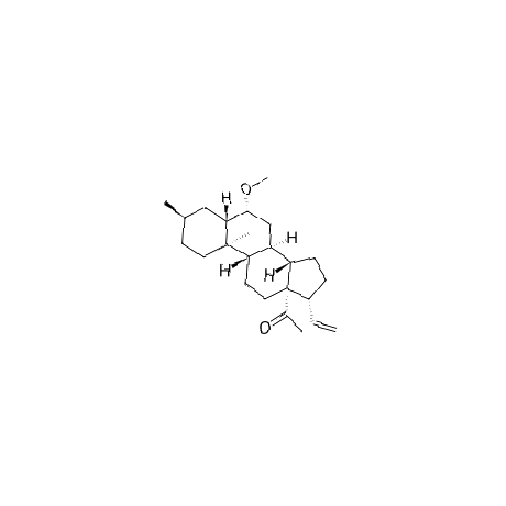 C=C[C@H]1CC[C@H]2[C@@H]3C[C@@H](OC)[C@H]4C[C@H](C)CC[C@]4(C)[C@H]3CC[C@]12C(C)=O